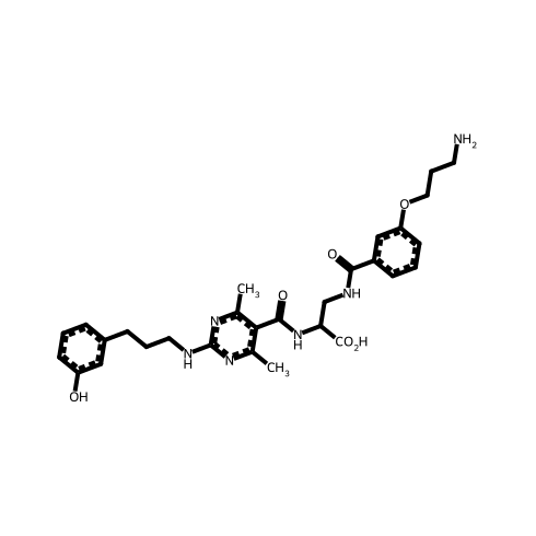 Cc1nc(NCCCc2cccc(O)c2)nc(C)c1C(=O)NC(CNC(=O)c1cccc(OCCCN)c1)C(=O)O